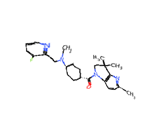 Cc1ccc2c(n1)C(C)(C)CN2C(=O)[C@H]1CC[C@H](N(C)Cc2ncccc2F)CC1